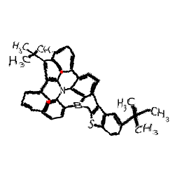 CC(C)(C)c1ccc(N2c3ccccc3B3c4sc5ccc(C(C)(C)C)cc5c4-c4ccc(-c5ccccc5)c2c43)c(-c2ccccc2)c1